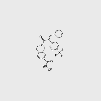 O=C(NO)c1ccc2c(c1)CN(C(=O)C(=Cc1ccccc1)c1ccc(C(F)(F)F)cc1)CC2